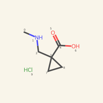 CNCC1(C(=O)O)CC1.Cl